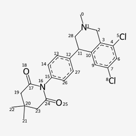 CN1Cc2c(Cl)cc(Cl)cc2C(c2ccc(N3C(=O)CC(C)(C)CC3=O)cc2)C1